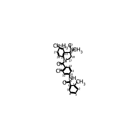 Cc1ccccc1C(=O)Nc1ccc(C(=O)N2CCC(N(C)C)c3cc(Cl)ccc32)c(Cl)c1